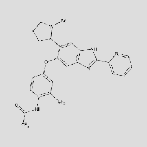 CC(=O)N1CCCC1c1cc2[nH]c(-c3ccccn3)nc2cc1Oc1ccc(NC(=O)C(F)(F)F)c(C(F)(F)F)c1